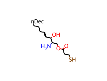 CCCCCCCCCCCCC/C=C/C(O)C(N)COC(=O)CCS